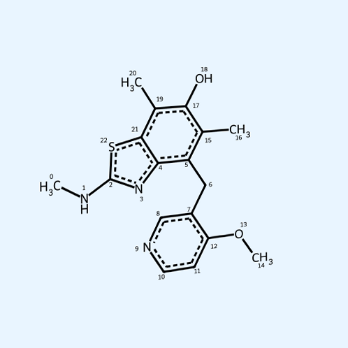 CNc1nc2c(Cc3cnccc3OC)c(C)c(O)c(C)c2s1